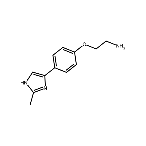 Cc1nc(-c2ccc(OCCN)cc2)c[nH]1